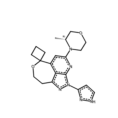 C[C@@H]1COCCN1c1cc2c3c(nn(-c4cc[nH]n4)c3n1)CCOC21CCC1